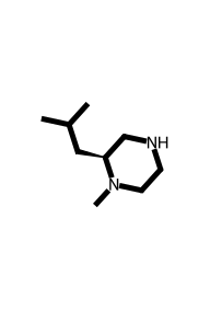 CC(C)C[C@H]1CNCCN1C